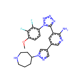 COc1ccc(-n2nnnc2-c2cc(-c3cnn(C4CCCNCC4)c3)cnc2N)c(F)c1F